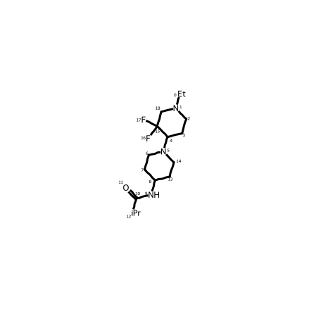 CCN1CCC(N2CCC(NC(=O)C(C)C)CC2)C(F)(F)C1